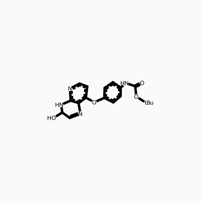 CC(C)(C)OC(=O)Nc1ccc(Oc2ccnc3c2N=CC(O)N3)cc1